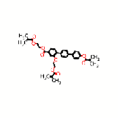 C=C(C)C(=O)OCCOC(=O)c1ccc(-c2ccc(-c3ccc(OC(=O)C(=C)C)cc3)cc2)c(OCCOC(=O)C(=C)C)c1